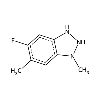 Cc1cc2c(cc1F)NNN2C